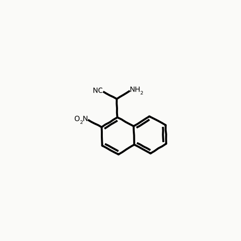 N#CC(N)c1c([N+](=O)[O-])ccc2ccccc12